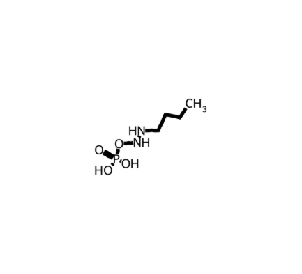 CCCCNNOP(=O)(O)O